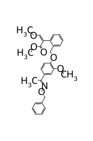 COC=C(C(=O)OC)c1ccccc1COc1ccc(C(C)=NOCc2ccccc2)cc1OC